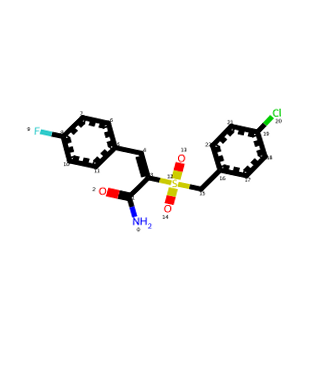 NC(=O)/C(=C\c1ccc(F)cc1)S(=O)(=O)Cc1ccc(Cl)cc1